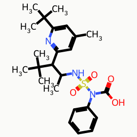 Cc1cc(C(C(C)NS(=O)(=O)N(C(=O)O)c2ccccc2)C(C)(C)C)nc(C(C)(C)C)c1